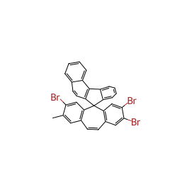 Cc1cc2c(cc1Br)C1(c3cc(Br)c(Br)cc3C=C2)c2ccccc2-c2c1ccc1ccccc21